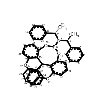 C[C@@H](c1ccccc1)N([C@@H](C)c1ccccc1)P1Oc2cccc3c2[C@]2(C4=CCCC=C4O3)c3ccccc3Oc3cccc(c32)O1